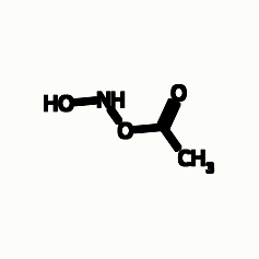 CC(=O)ONO